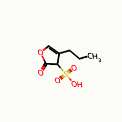 CCCC1=COC(=O)C1S(=O)(=O)O